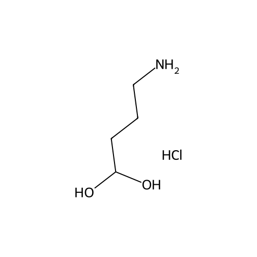 Cl.NCCCC(O)O